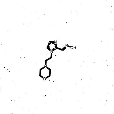 O/N=C/c1nccn1CCN1CCOCC1